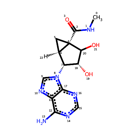 CNC(=O)[C@@]12C[C@@H]1[C@@H](n1cnc3c(N)ncnc31)[C@@H](O)C2O